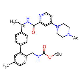 CC(=O)N1CCN(c2ccnc(C(=O)N[C@H](C)c3ccc(-c4cc(C(F)(F)F)ccc4CNC(=O)OC(C)(C)C)cc3)c2)CC1